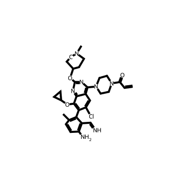 C=CC(=O)N1CCN(c2nc(OC3CCN(C)CC3)nc3c(OC4CC4)c(-c4c(C)ccc(N)c4C=N)c(Cl)cc23)CC1